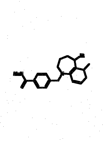 C=C(NC)c1ccc(CN2CCCC(CC)C3=C2C=CCC3C)cc1